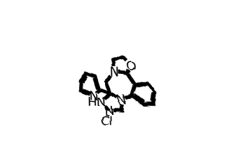 ClN1CN2c3ccccc3C3OCCN3CC2(c2ccccn2)N1